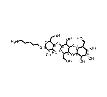 NCCCCCO[C@@H]1OC(CO)[C@@H](O[C@@H]2OC(CO)[C@H](O[C@H]3OC(CO)[C@H](O)[C@H](O)C3O)C(O)C2O)C(O)[C@@H]1O